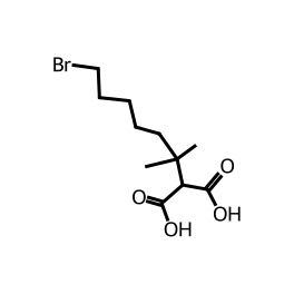 CC(C)(CCCCCBr)C(C(=O)O)C(=O)O